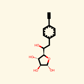 C#Cc1ccc(CC(O)[C@H]2O[C@H](O)[C@@H](O)[C@@H]2O)cc1